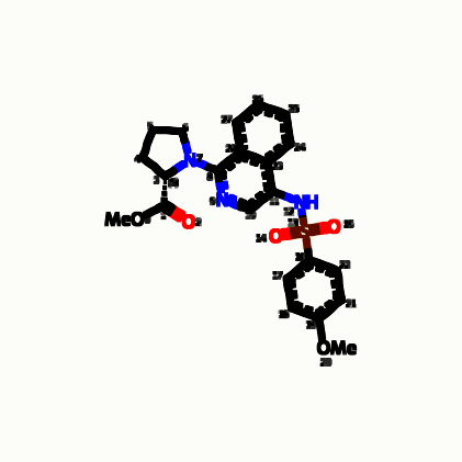 COC(=O)[C@@H]1CCCN1c1ncc(NS(=O)(=O)c2ccc(OC)cc2)c2ccccc12